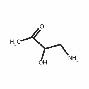 CC(=O)C(O)CN